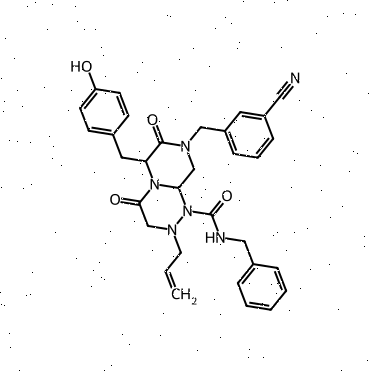 C=CCN1CC(=O)N2C(Cc3ccc(O)cc3)C(=O)N(Cc3cccc(C#N)c3)CC2N1C(=O)NCc1ccccc1